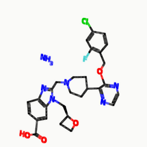 N.O=C(O)c1ccc2nc(CN3CCC(c4nccnc4OCc4ccc(Cl)cc4F)CC3)n(C[C@@H]3CCO3)c2c1